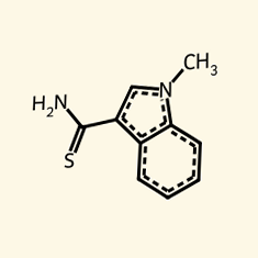 Cn1cc(C(N)=S)c2ccccc21